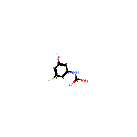 O=C(O)Nc1cc(F)cc(Br)c1